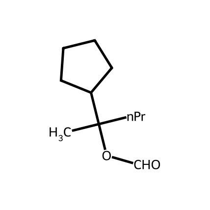 CCCC(C)(OC=O)C1CCCC1